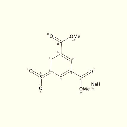 COC(=O)C1=CC(=S(=O)=O)CC(C(=O)OC)=C1.[NaH]